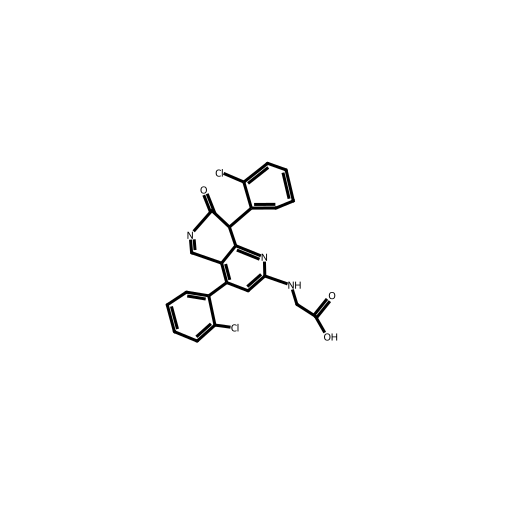 O=C(O)CNc1cc(-c2ccccc2Cl)c2c(n1)C(c1ccccc1Cl)C(=O)N=C2